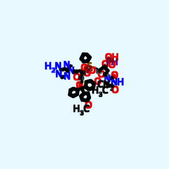 COc1ccc(C(OC[C@H]2O[C@@H](n3cnc4c(N)ncnc43)C[C@H]2OP(=O)(OC[C@H]2O[C@@H](n3cc(C)c(=O)[nH]c3=O)C[C@H]2O[PH](=O)O)Sc2ccccc2)(c2ccccc2)c2ccc(OC)cc2)cc1